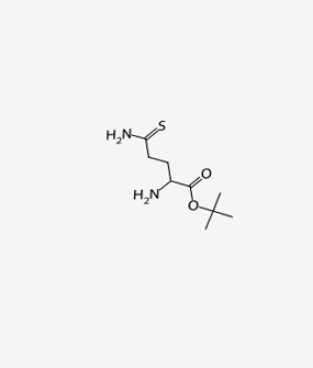 CC(C)(C)OC(=O)C(N)CCC(N)=S